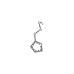 COOc1cccs1